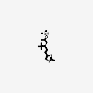 Cc1nc(/C=C/[C@H](CC(I)O[SiH](C)C)C(C)(C)C)cs1